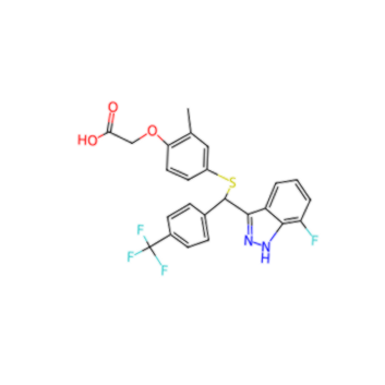 Cc1cc(SC(c2ccc(C(F)(F)F)cc2)c2n[nH]c3c(F)cccc23)ccc1OCC(=O)O